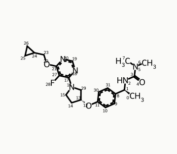 C[C@H](NC(=O)N(C)C)c1ccc(O[C@@H]2CCN(c3ncnc(OCC4CC4)c3F)C2)cc1